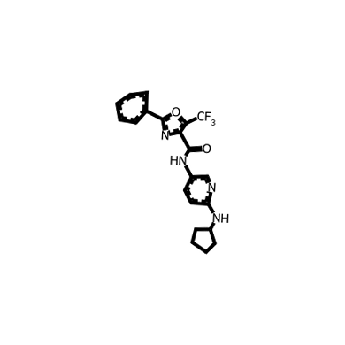 O=C(Nc1ccc(NC2CCCC2)nc1)c1nc(-c2ccccc2)oc1C(F)(F)F